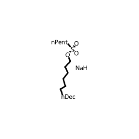 CCCCCCCCCCCCCCCCOS(=O)(=O)CCCCC.[NaH]